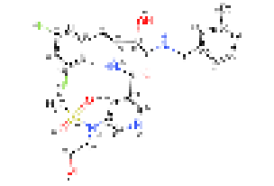 CCc1cccc(CNC[C@@H](O)[C@H](Cc2cc(F)cc(F)c2)NC(=O)c2cncc(N(CCO)S(C)(=O)=O)c2)c1